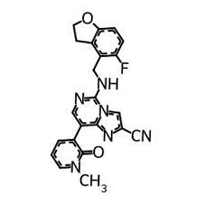 Cn1cccc(-c2cnc(NCc3c(F)ccc4c3CCO4)n3cc(C#N)nc23)c1=O